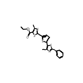 CCOC(=O)c1sc(-c2ccc(-c3sc(-c4ccccc4)nc3C)s2)nc1C